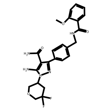 COc1ccccc1C(=O)NCc1ccc(-c2nn(C3COCC(F)(F)C3)c(N)c2C(N)=O)cc1